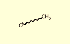 C=CCCCCCCC=C[C]=O